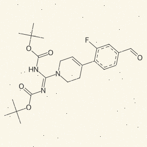 CC(C)(C)OC(=O)N=C(NC(=O)OC(C)(C)C)N1CC=C(c2ccc(C=O)cc2F)CC1